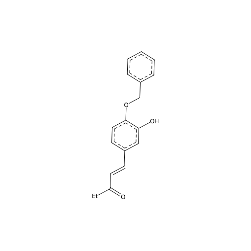 CCC(=O)C=Cc1ccc(OCc2ccccc2)c(O)c1